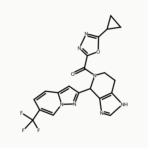 O=C(c1nnc(C2CC2)o1)N1CCc2[nH]cnc2C1c1cc2ccc(C(F)(F)F)cn2n1